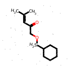 CC(C)=CC(=O)CO[SiH2]C1CCCCC1